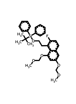 COCOc1cc(OCOC)c2c(CCO[Si](c3ccccc3)(c3ccccc3)C(C)(C)C)c(F)ccc2c1